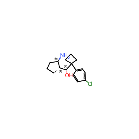 N[C@@H]1CCC[C@H]1[C@@H](O)C1(c2ccc(Cl)cc2)CCC1